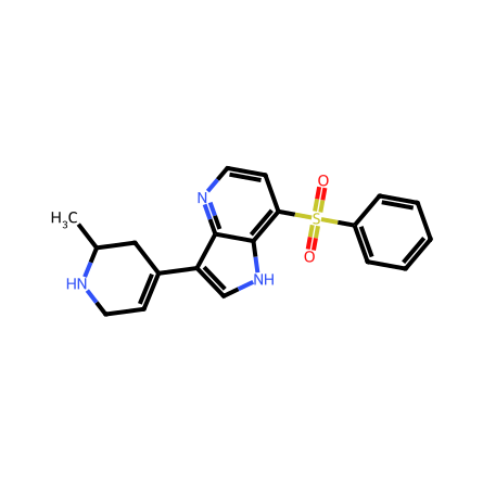 CC1CC(c2c[nH]c3c(S(=O)(=O)c4ccccc4)ccnc23)=CCN1